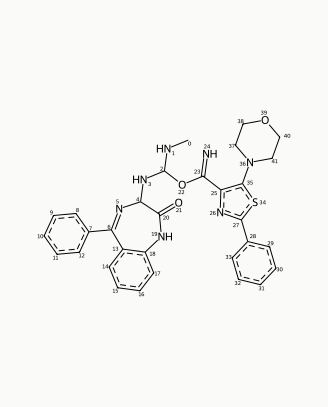 CNC(NC1N=C(c2ccccc2)c2ccccc2NC1=O)OC(=N)c1nc(-c2ccccc2)sc1N1CCOCC1